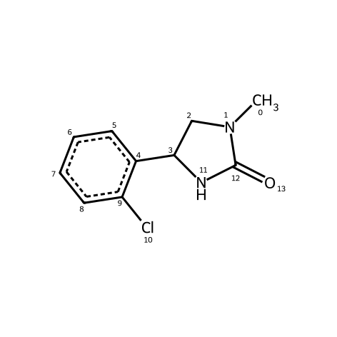 CN1CC(c2ccccc2Cl)NC1=O